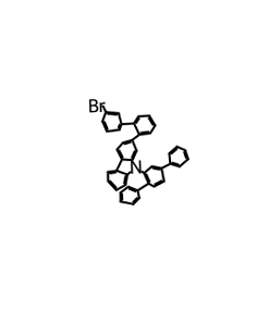 Brc1cccc(-c2ccccc2-c2ccc3c4ccccc4n(-c4cc(-c5ccccc5)ccc4-c4ccccc4)c3c2)c1